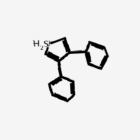 C1=C(c2ccccc2)C(c2ccccc2)=C[SiH2]1